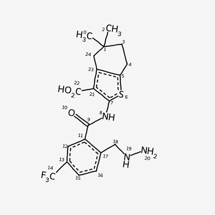 CC1(C)CCc2sc(NC(=O)c3cc(C(F)(F)F)ccc3CNN)c(C(=O)O)c2C1